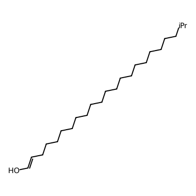 CC(C)CCCCCCCCCCCCCCCCCCCC=CO